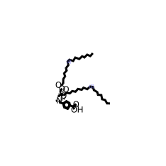 CCCCCCCC/C=C\CCCCCCCC(=O)OC[C@H](C[N+](C)(C)Cc1ccc(C(=O)O)cc1)OC(=O)CCCCCCC/C=C\CCCCCCCC